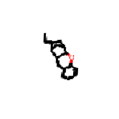 CC=C1CC2CC1C1Cc3ccccc3OC21